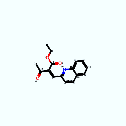 CCOC(=O)C(=Cc1ccc2ccccc2n1)C(C)=O